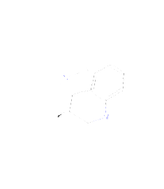 CC(C)(C)N.O=C(O)[C@@H]1CNc2ccccc2C1